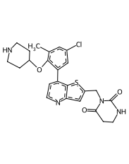 Cc1cc(Cl)cc(-c2ccnc3cc(CN4C(=O)CCNC4=O)sc23)c1OC1CCNCC1